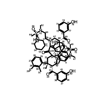 Cc1c(F)cccc1[C@]1(C)C[C@](C(=O)[C@]2(C3CCCNC3)C[C@@](C)(c3cccc(F)c3C)[C@@H](C(=O)c3cccc(O)c3)CN2CCN(C)S(C)(=O)=O)(C2CCCNC2)N(CCN(C)S(C)(=O)=O)C[C@@H]1C(=O)c1cccc(O)c1